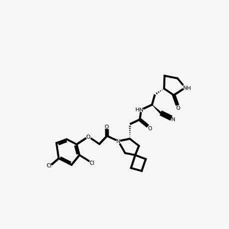 N#C[C@H](C[C@@H]1CCNC1=O)NC(=O)C[C@@H]1CC2(CCC2)CN1C(=O)COc1ccc(Cl)cc1Cl